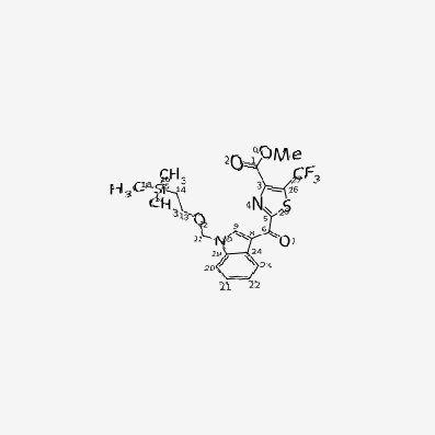 COC(=O)c1nc(C(=O)c2cn(COCC[Si](C)(C)C)c3ccccc23)sc1C(F)(F)F